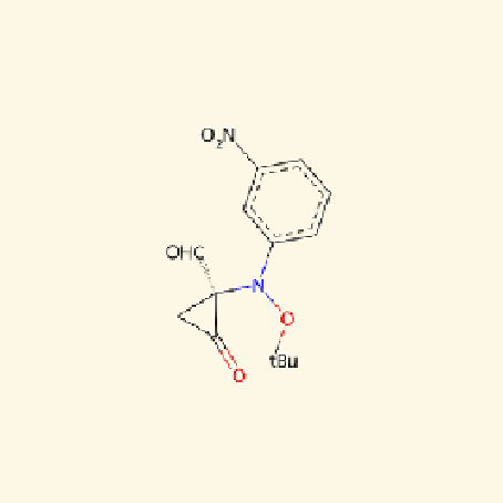 CC(C)(C)ON(c1cccc([N+](=O)[O-])c1)[C@]1(C=O)CC1=O